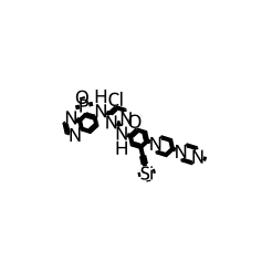 COc1cc(N2CCC(N3CCN(C)CC3)CC2)c(C#C[Si](C)(C)C)cc1Nc1ncc(Cl)c(Nc2ccc3nccnc3c2P(C)(C)=O)n1